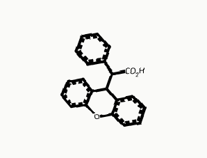 O=C(O)C(c1ccccc1)C1c2ccccc2Oc2ccccc21